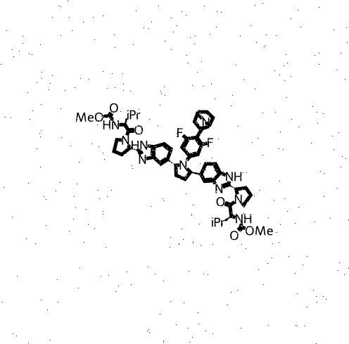 COC(=O)N[C@H](C(=O)N1CCC[C@H]1c1nc2c([nH]1)=CCC([C@H]1CC[C@H](c3ccc4[nH]c([C@@H]5CCCN5C(=O)[C@@H](NC(=O)OC)C(C)C)nc4c3)N1c1cc(F)c(N3CC4CCC3CC4)c(F)c1)C=2)C(C)C